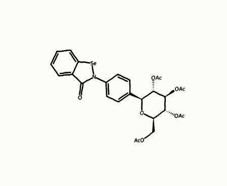 CC(=O)OC[C@H]1O[C@@H](c2ccc(-n3[se]c4ccccc4c3=O)cc2)[C@H](OC(C)=O)[C@@H](OC(C)=O)[C@@H]1OC(C)=O